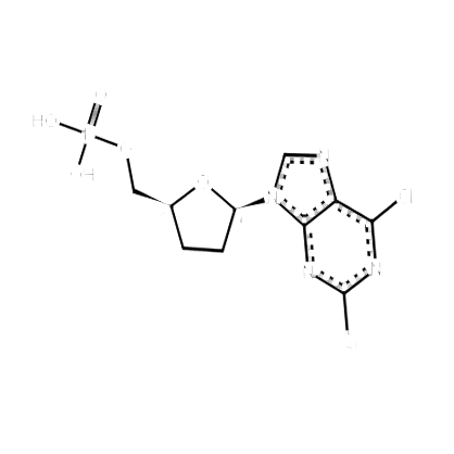 O=P(O)(O)OC[C@@H]1CC[C@H](n2cnc3c(Cl)nc(Cl)nc32)O1